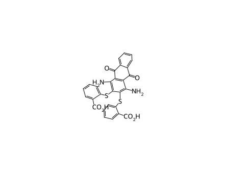 Nc1c(Sc2ccccc2C(=O)O)c(Sc2ccccc2C(=O)O)c(N)c2c1C(=O)c1ccccc1C2=O